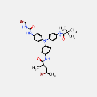 CC(Br)CC(C)C(=O)Nc1ccc(N(c2ccc(NC(=O)NCBr)cc2)c2ccc(NC(=O)C(C)(C)C)cc2)cc1